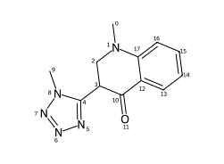 CN1CC(c2nnnn2C)C(=O)c2ccccc21